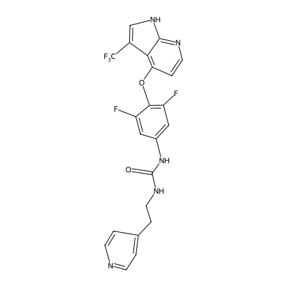 O=C(NCCc1ccncc1)Nc1cc(F)c(Oc2ccnc3[nH]cc(C(F)(F)F)c23)c(F)c1